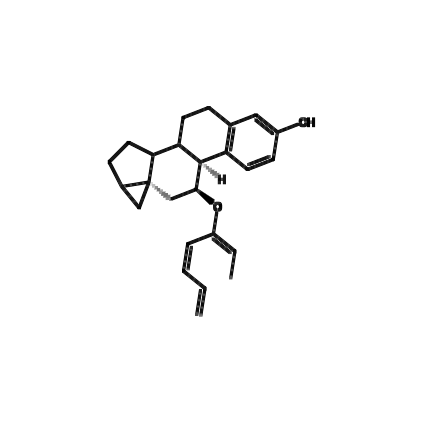 C=C/C=C\C(=C/C)O[C@H]1C[C@]23CC2CCC3C2CCc3cc(O)ccc3[C@H]21